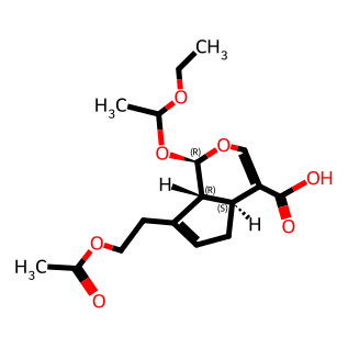 CCOC(C)O[C@H]1OC=C(C(=O)O)[C@H]2CC=C(CCOC(C)=O)[C@H]12